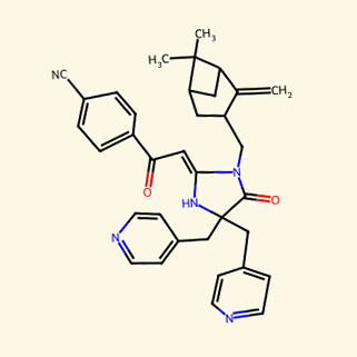 C=C1C(CN2C(=O)C(Cc3ccncc3)(Cc3ccncc3)NC2=CC(=O)c2ccc(C#N)cc2)CC2CC1C2(C)C